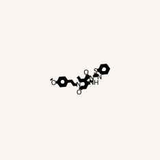 COc1ccc(CCn2c(C)c3c(=O)n(-c4nc5ccccc5s4)[nH]c3cc2=O)cc1